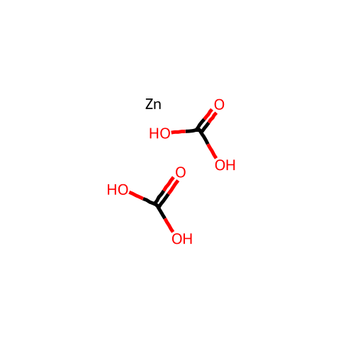 O=C(O)O.O=C(O)O.[Zn]